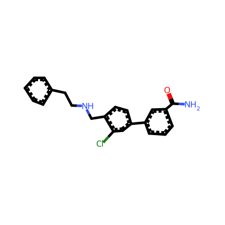 NC(=O)c1cccc(-c2ccc(CNCCc3ccccc3)c(Cl)c2)c1